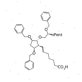 CCCCC[C@@H](CO[C@@H]1[C@@H](C=CCCCCC(=O)O)[C@@H](OCc2ccccc2)C[C@H]1OCc1ccccc1)OCc1ccccc1